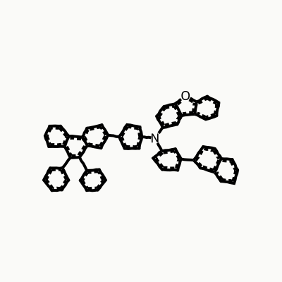 c1ccc(-c2c(-c3ccccc3)c3cc(-c4ccc(N(c5cccc(-c6ccc7ccccc7c6)c5)c5ccc6oc7ccccc7c6c5)cc4)ccc3c3ccccc23)cc1